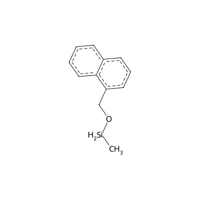 C[SiH2]OCc1cccc2ccccc12